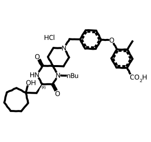 CCCCN1C(=O)[C@@H](CC2(O)CCCCCC2)NC(=O)C12CCN(Cc1ccc(Oc3ccc(C(=O)O)cc3C)cc1)CC2.Cl